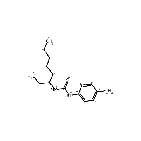 CCCCCC(CC)NC(=O)Nc1ccc(C)cc1